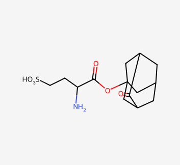 NC(CCS(=O)(=O)O)C(=O)OC12CC3CC(C1)C(=O)C(C3)C2